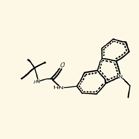 CCn1c2ccccc2c2cc(NC(=O)NC(C)(C)C)ccc21